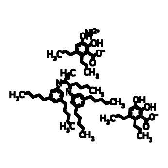 CCCCCc1cc(CCCCC)cc(N=C(CC)C(CCCC)=Nc2cc(CCCCC)cc(CCCCC)c2)c1.CCCc1cc(O)c(O)c(C(=O)[O-])c1CCC.CCCc1cc(O)c(O)c(C(=O)[O-])c1CCC.[Ni+2]